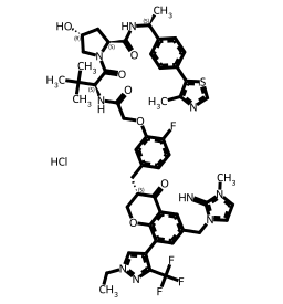 CCn1cc(-c2cc(Cn3ccn(C)c3=N)cc3c2OC[C@H](Cc2ccc(F)c(OCC(=O)N[C@H](C(=O)N4C[C@H](O)C[C@H]4C(=O)N[C@@H](C)c4ccc(-c5scnc5C)cc4)C(C)(C)C)c2)C3=O)c(C(F)(F)F)n1.Cl